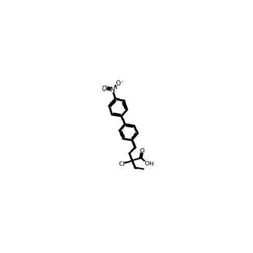 CCC(Cl)(CCc1ccc(-c2ccc([N+](=O)[O-])cc2)cc1)C(=O)O